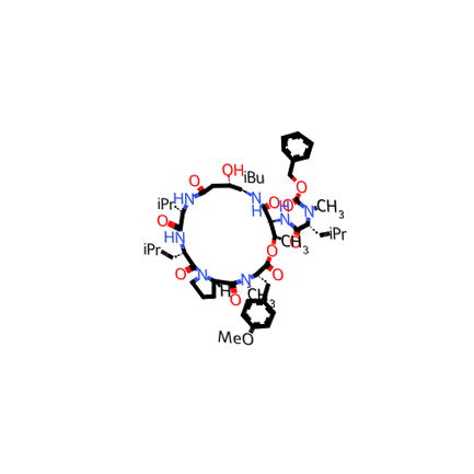 CC[C@H](C)[C@H]1NC(=O)[C@@H](NC(=O)[C@@H](CC(C)C)N(C)C(=O)OCc2ccccc2)[C@@H](C)OC(=O)[C@H](Cc2ccc(OC)cc2)N(C)C(=O)[C@@H]2CCCN2C(=O)[C@H](CC(C)C)NC(=O)[C@H](C(C)C)NC(=O)C[C@@H]1O